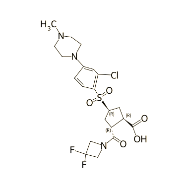 CN1CCN(c2ccc(S(=O)(=O)[C@H]3C[C@@H](C(=O)O)[C@H](C(=O)N4CC(F)(F)C4)C3)c(Cl)c2)CC1